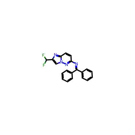 FC(F)c1cn2nc(N=C(c3ccccc3)c3ccccc3)ccc2n1